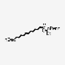 CCCCCCCCCCCCCCCCCCCCCC(=O)OC(CC)CCCCC